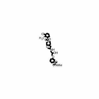 CNS(=O)(=O)c1cccc(OCC(O)CNC2COC3(CCN(S(=O)(=O)c4cccc(Cl)c4C)CC3)C2)c1